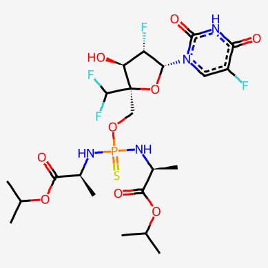 CC(C)OC(=O)[C@H](C)NP(=S)(N[C@@H](C)C(=O)OC(C)C)OC[C@@]1(C(F)F)O[C@@H](n2cc(F)c(=O)[nH]c2=O)[C@@H](F)[C@@H]1O